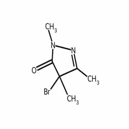 CC1=NN(C)C(=O)C1(C)Br